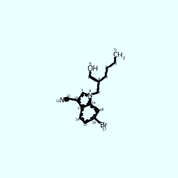 CCCCC(CO)Cn1cc(C#N)c2ccc(Br)cc21